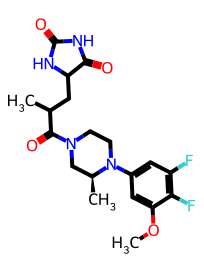 COc1cc(N2CCN(C(=O)C(C)CC3NC(=O)NC3=O)C[C@@H]2C)cc(F)c1F